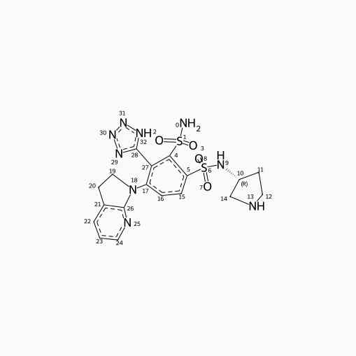 NS(=O)(=O)c1c(S(=O)(=O)N[C@@H]2CCNC2)ccc(N2CCc3cccnc32)c1-c1nnn[nH]1